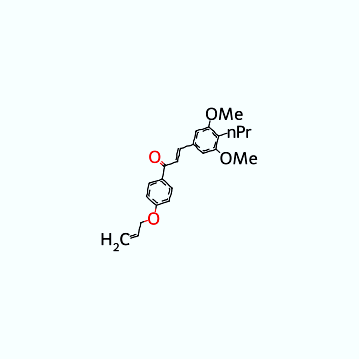 C=CCOc1ccc(C(=O)C=Cc2cc(OC)c(CCC)c(OC)c2)cc1